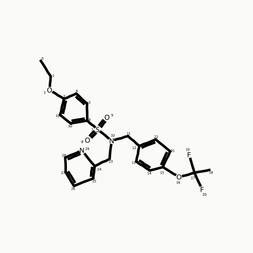 CCOc1ccc(S(=O)(=O)N(Cc2ccc(OC(C)(F)F)cc2)Cc2ccccn2)cc1